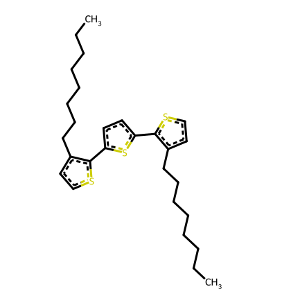 CCCCCCCCc1ccsc1-c1ccc(-c2sccc2CCCCCCCC)s1